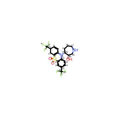 O=S1(=O)C2=C(C=CC(C(F)(F)F)C2)N([C@H]2CCCNC[C@@H]2O)c2ccc(C(F)(F)F)cc21